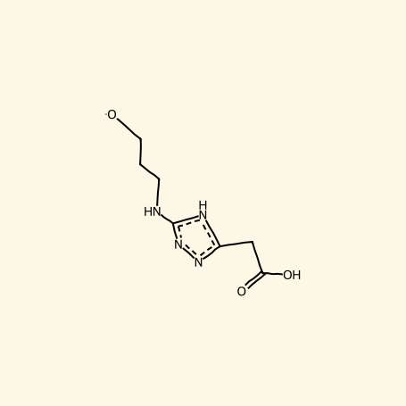 [O]CCCNc1nnc(CC(=O)O)[nH]1